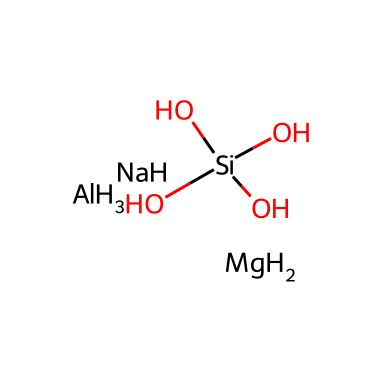 O[Si](O)(O)O.[AlH3].[MgH2].[NaH]